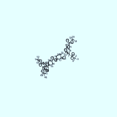 CC(C)(C)OC(=O)CN(Cc1csc(C(=O)OC(C)(C)C)c1)C(=O)CCc1ccc(OC(=O)c2ccc(N/C(=N\C(=O)OC(C)(C)C)NC(=O)OC(C)(C)C)cc2)cc1Cl